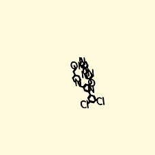 CN1CCN(c2ncc(Oc3cc(CN4CCC(CCO)CC4)cc(-c4cc(Cl)cc(Cl)c4)n3)cn2)CC1